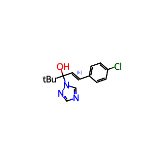 CC(C)(C)C(O)(/C=C/c1ccc(Cl)cc1)n1cncn1